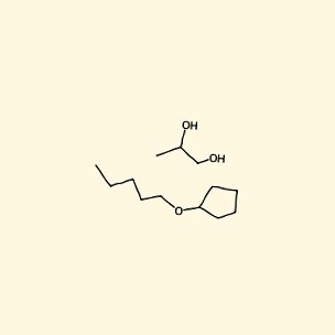 CC(O)CO.CCCCCOC1CCCC1